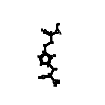 COC(=O)CCc1ccc(CC(=O)O)s1